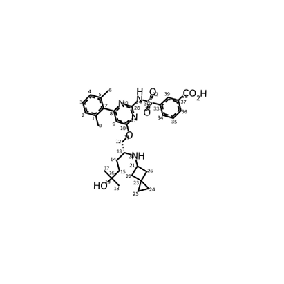 Cc1cccc(C)c1-c1cc(OC[C@@H](CCC(C)(C)O)NC2CC3(CC3)C2)nc(NS(=O)(=O)c2cccc(C(=O)O)c2)n1